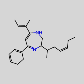 C/C=C(\C)C1=CC(C2=CC=CCC2)=NC(C(C)C/C=C\CC)CN1